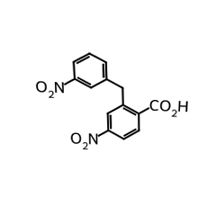 O=C(O)c1ccc([N+](=O)[O-])cc1Cc1cccc([N+](=O)[O-])c1